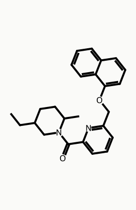 CCC1CCC(C)N(C(=O)c2cccc(COc3cccc4ccccc34)n2)C1